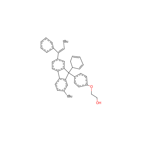 CC(C)(C)C=C(c1ccccc1)c1ccc2c(c1)C(c1ccc(OCCO)cc1)(C1C=CC=CC1)c1cc(C(C)(C)C)ccc1-2